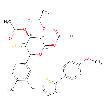 COc1ccc(-c2ccc(Cc3cc(C4O[C@H](OC(C)=O)[C@@H](OC(C)=O)[C@H](OC(C)=O)[C@H]4S)ccc3C)s2)cc1